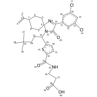 C=C(C)C1CCC2(CC1)N=C(c1cc(Cl)cc(Cl)c1)C(=O)N2C(CCC(C)(C)C)c1ccc(C(=O)NCCC(=O)O)s1